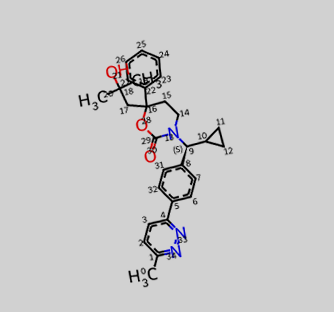 Cc1ccc(-c2ccc([C@H](C3CC3)N3CCC(CC(C)(C)O)(c4ccccc4)OC3=O)cc2)nn1